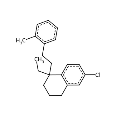 CCC1(CCc2ccccc2C)CCCc2cc(Cl)ccc21